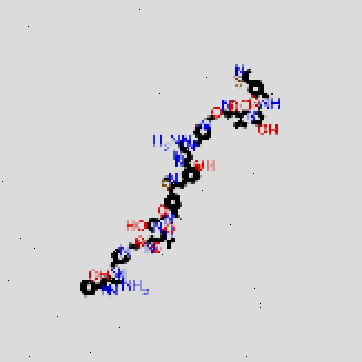 Cc1ncsc1-c1ccc([C@H](C)NC(=O)[C@@H]2C[C@@H](O)CN2C(=O)[C@H](c2cc(OCCN3CCC(Cn4nc(N)c5nnc(-c6cc(Cc7ncsc7-c7ccc([C@H](C)NC(=O)[C@@H]8C[C@@H](O)CN8C(=O)[C@@H](c8cc(OCCN9CCC(Cn%10nc(N)c%11nnc(-c%12ccccc%12O)cc%11%10)CC9)no8)C(C)C)cc7)ccc6O)cc54)CC3)no2)C(C)C)cc1